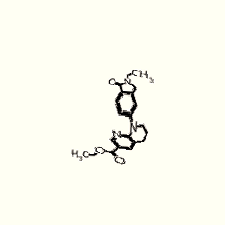 CCOC(=O)c1cnc2c(c1)CCCN2c1ccc2c(c1)CN(CC)C2=O